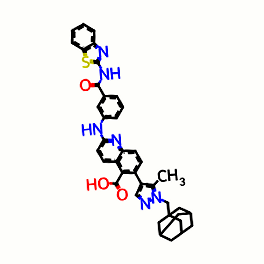 Cc1c(-c2ccc3nc(Nc4cccc(C(=O)Nc5nc6ccccc6s5)c4)ccc3c2C(=O)O)cnn1CC12CC3CC(CC(C3)C1)C2